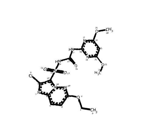 CCOc1ccc2nc(Cl)c(S(=O)(=O)NC(=O)Nc3nc(OC)cc(OC)n3)n2n1